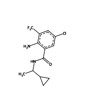 CC(NC(=O)c1cc(Cl)cc(C(F)(F)F)c1N)C1CC1